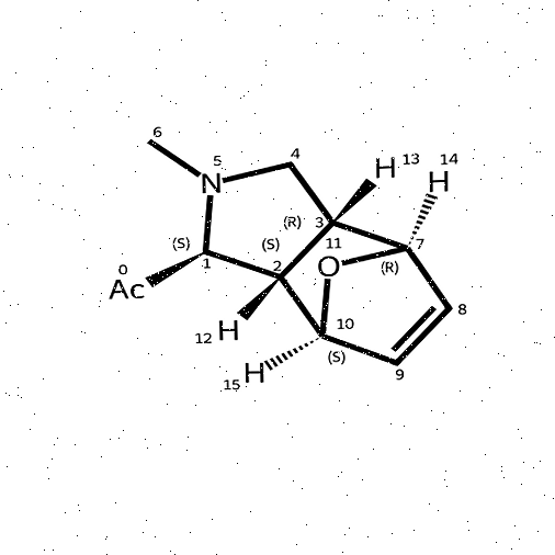 CC(=O)[C@@H]1[C@@H]2[C@H](CN1C)[C@H]1C=C[C@@H]2O1